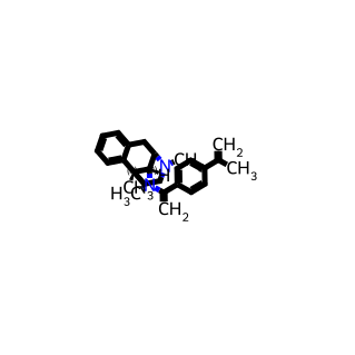 C=C(C)c1ccc(C(=C)N(C)[C@H]2C3Cc4ccccc4[C@@]2(C)CCN3C)cc1